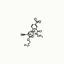 CCOC(=O)/C(C#N)=C\Nc1ccc([N+](=O)[O-])cc1C(=O)N(C)C